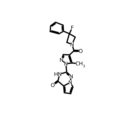 Cc1c(C(=O)N2CC(F)(c3ccccc3)C2)cnn1-c1nn2cccc2c(=O)[nH]1